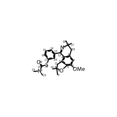 COc1cc2c(c3c1OC(C)(C)C3)C(c1cccc(SC(=O)N(C)C)c1)=NC(C)(C)C2